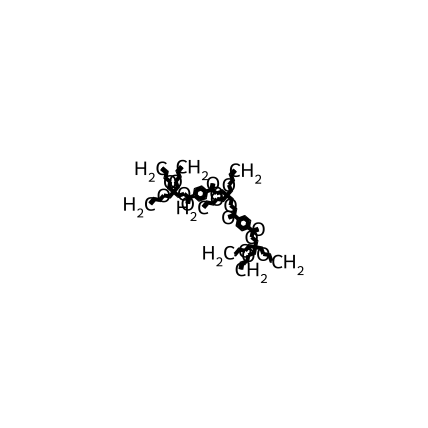 C=CCOCC(COCC=C)(COCC=C)COC(=O)c1ccc(C(=O)COCC(COCC=C)(COCC=C)COC(=O)c2ccc(C(=O)OCC(COCC=C)(COCC=C)COCC=C)cc2)cc1